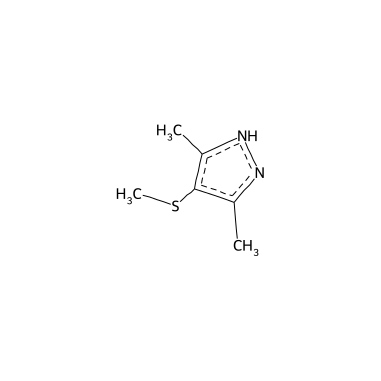 CSc1c(C)n[nH]c1C